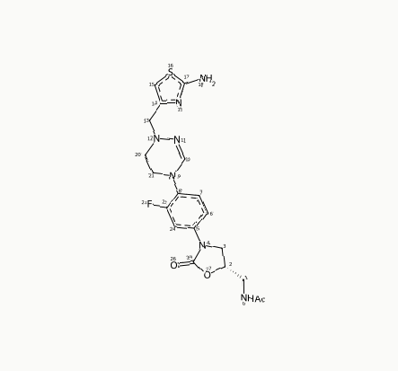 CC(=O)NC[C@H]1CN(c2ccc(N3C=NN(Cc4csc(N)n4)CC3)c(F)c2)C(=O)O1